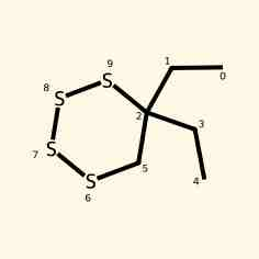 CCC1(CC)CSSSS1